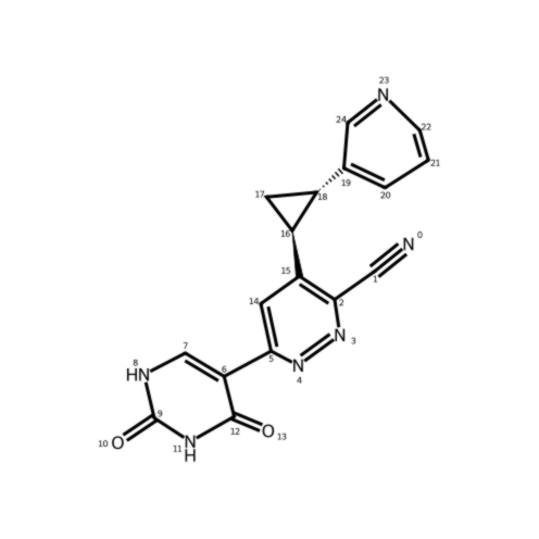 N#Cc1nnc(-c2c[nH]c(=O)[nH]c2=O)cc1[C@H]1C[C@@H]1c1cccnc1